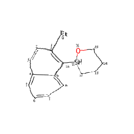 CCc1ccc2ccccc2c1[SiH]1CCCCO1